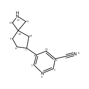 N#Cc1cncc(C2CCC3(CNC3)C2)c1